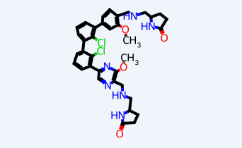 COc1cc(-c2cccc(-c3cccc(-c4cnc(CNCC5CCC(=O)N5)c(OC)n4)c3Cl)c2Cl)ccc1CNCC1CCC(=O)N1